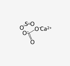 O=C([O-])[O-].O=S=O.[Ca+2]